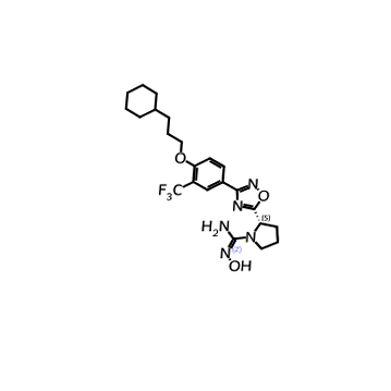 N/C(=N/O)N1CCC[C@H]1c1nc(-c2ccc(OCCCC3CCCCC3)c(C(F)(F)F)c2)no1